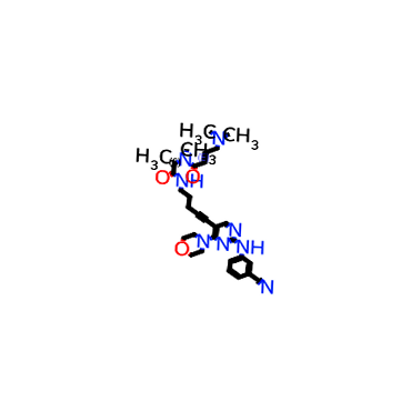 C[C@@H](C(=O)NCCCC#Cc1cnc(Nc2cccc(C#N)c2)nc1N1CCOCC1)N(C)C(=O)/C=C/CN(C)C